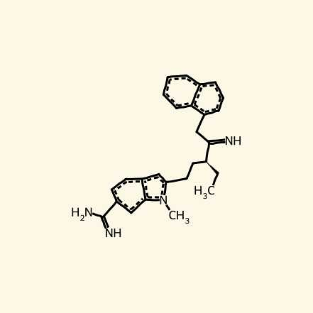 CC[C@@H](CCc1cc2ccc(C(=N)N)cc2n1C)C(=N)Cc1cccc2ccccc12